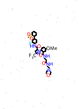 COc1ccc(-n2nc(C(F)(F)F)cc2C(=O)Nc2ccc(-c3ccccc3S(C)(=O)=O)cc2F)c(C(=O)NCCC(=O)NCCN2CCOCC2)c1